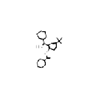 CC(C)(C)c1ccc(OC(=O)C2CCCCC2)c(C(=N)C2CCCCC2)c1